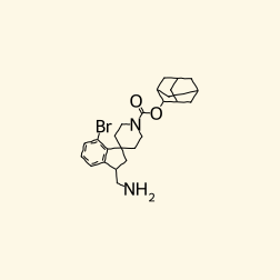 NCC1CC2(CCN(C(=O)OC3C4CC5CC(C4)CC3C5)CC2)c2c(Br)cccc21